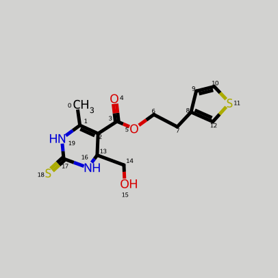 CC1=C(C(=O)OCCc2ccsc2)C(CO)NC(=S)N1